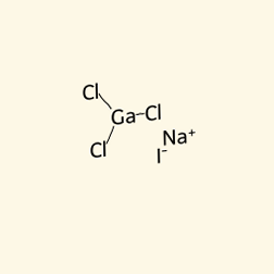 [Cl][Ga]([Cl])[Cl].[I-].[Na+]